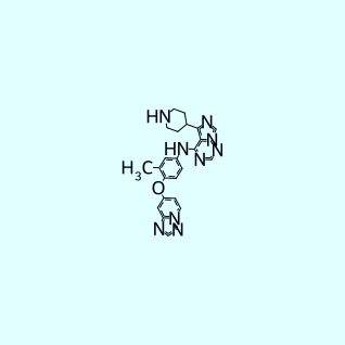 Cc1cc(Nc2ncnn3cnc(C4CCNCC4)c23)ccc1Oc1ccn2ncnc2c1